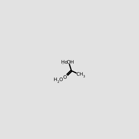 CC(=O)O.O.[Ho]